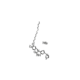 Br.CCCCCCCCCCCCCCOc1cc(CN(C(=O)NC)c2ccc(CN3C=CSC3)cc2)ccc1OC